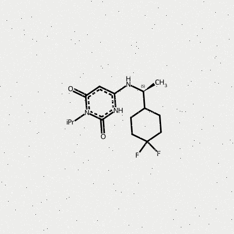 CC(C)n1c(=O)cc(N[C@@H](C)C2CCC(F)(F)CC2)[nH]c1=O